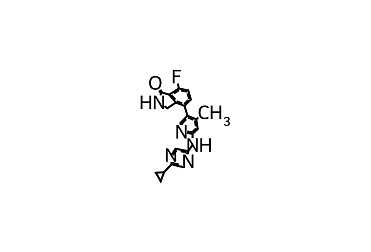 Cc1cc(Nc2cnc(C3CC3)cn2)ncc1-c1ccc(F)c2c1CNC2=O